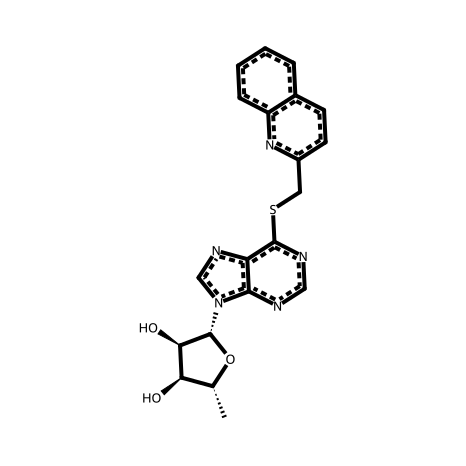 C[C@H]1O[C@@H](n2cnc3c(SCc4ccc5ccccc5n4)ncnc32)[C@H](O)[C@@H]1O